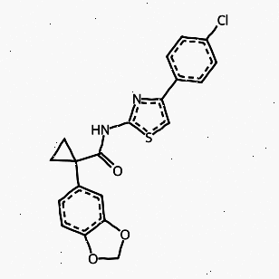 O=C(Nc1nc(-c2ccc(Cl)cc2)cs1)C1(c2ccc3c(c2)OCO3)CC1